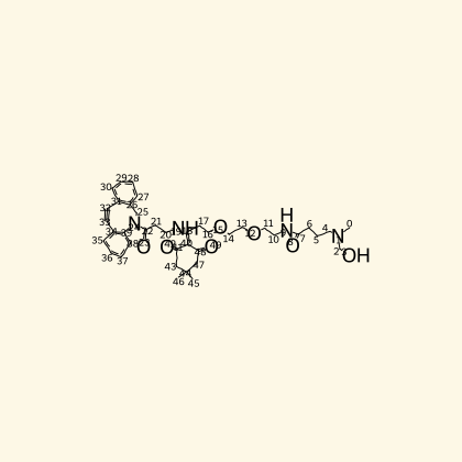 CN(CO)CCCC(=O)NCCOCCOCCC(NCCC(=O)N1Cc2ccccc2C#Cc2ccccc21)=C1C(=O)CC(C)(C)CC1=O